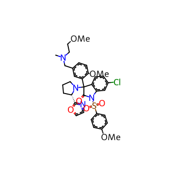 COCCN(C)Cc1ccc(OC)c(C2(N3CCC[C@H]3c3ncco3)C(=O)N(S(=O)(=O)c3ccc(OC)cc3)c3cc(Cl)ccc32)c1